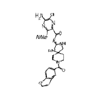 CNc1nc(N)c(Cl)nc1C(=O)/N=C1\NCC2(CCN(C(=O)c3ccc4occc4c3)CC2)N1